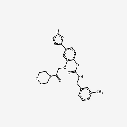 Cc1cccc(CNC(=O)Oc2ccc(-c3cn[nH]c3)cc2OCC(=O)N2CCOCC2)c1